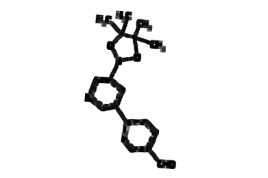 CC1(C)OB(c2cncc(-c3ccc(C=O)cc3)c2)OC1(C)C